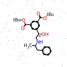 CC(Cc1ccccc1)NC[C@H](O)c1cc(C(=O)OC(C)(C)C)cc(C(=O)OC(C)(C)C)c1